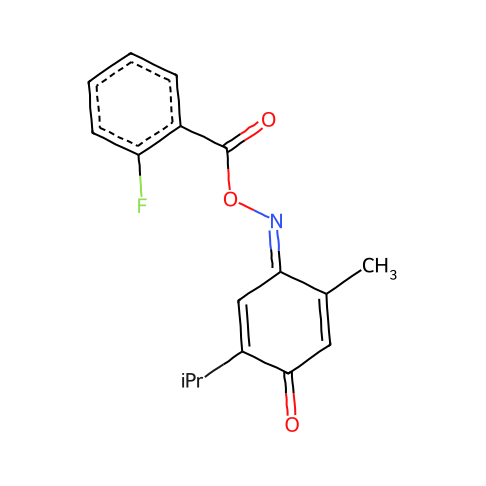 CC1=CC(=O)C(C(C)C)=CC1=NOC(=O)c1ccccc1F